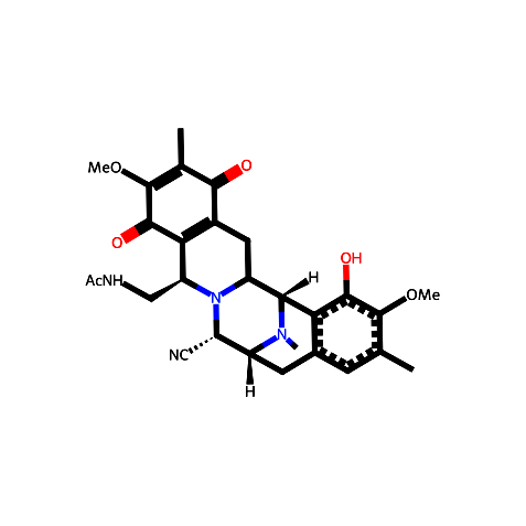 COC1=C(C)C(=O)C2=C(C1=O)[C@H](CNC(C)=O)N1C(C2)[C@@H]2c3c(cc(C)c(OC)c3O)C[C@H]([C@@H]1C#N)N2C